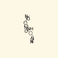 Cc1ncc(-c2ccc3cnc(NC(=O)C4CCC(CN5CCN(C)CC5)CC4)cc3c2)o1